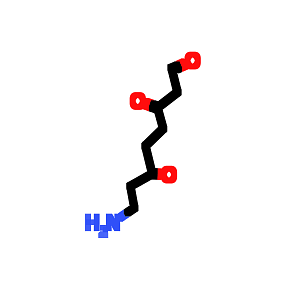 NCCC(=O)CCC(=O)CC=O